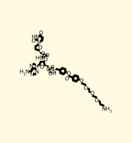 NCCCOCCOCCOCCOc1ccc(C(=O)Oc2ccc(CSP(=O)(O)OC[C@H]3O[C@@H](n4cnc5c(N)ncnc54)C[C@@H]3OP(=O)(O)OC[C@@H]3CC[C@H](n4ccc(=O)[nH]c4=O)O3)cc2)cc1